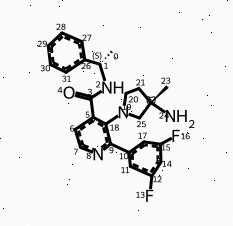 C[C@H](NC(=O)c1ccnc(-c2cc(F)cc(F)c2)c1N1CC[C@](C)(N)C1)c1ccccc1